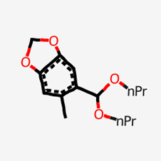 CCCOC(OCCC)c1cc2c(cc1C)OCO2